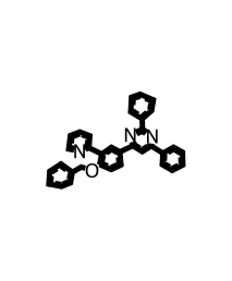 c1ccc(COc2ccc(-c3cc(-c4ccccc4)nc(-c4ccccc4)n3)cc2-c2ccccn2)cc1